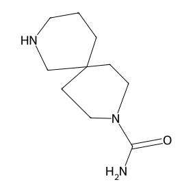 NC(=O)N1CCC2(CCCNC2)CC1